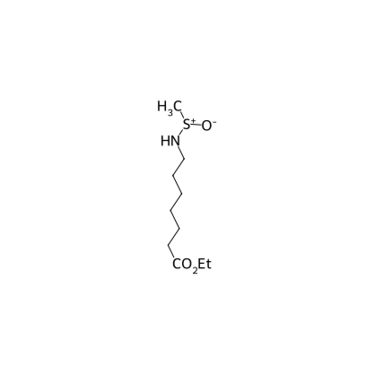 CCOC(=O)CCCCCCN[S+](C)[O-]